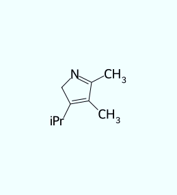 CC1=NCC(C(C)C)=C1C